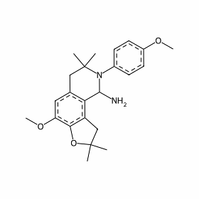 COc1ccc(N2C(N)c3c(cc(OC)c4c3CC(C)(C)O4)CC2(C)C)cc1